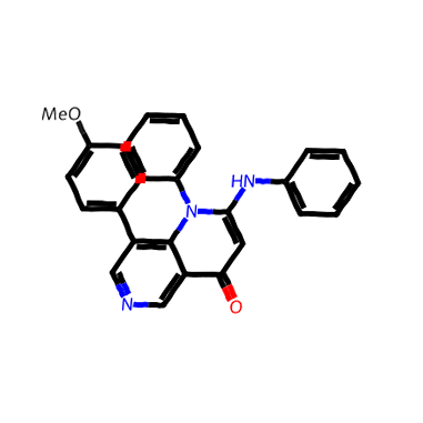 COc1ccc(-c2cncc3c(=O)cc(Nc4ccccc4)n(-c4ccccc4)c23)cc1